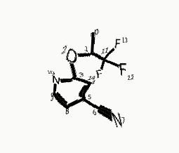 CC(Oc1cc(C#N)ccn1)C(F)(F)F